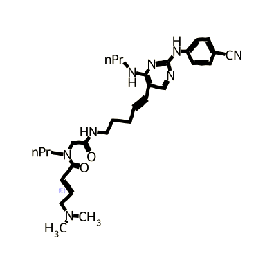 CCCNc1nc(Nc2ccc(C#N)cc2)ncc1C#CCCCNC(=O)CN(CCC)C(=O)/C=C/CN(C)C